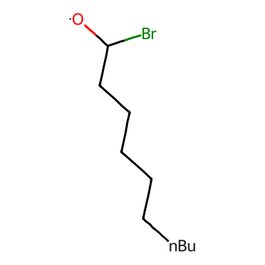 CCCCCCCCCC([O])Br